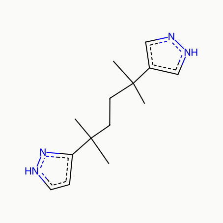 CC(C)(CCC(C)(C)c1cc[nH]n1)c1cn[nH]c1